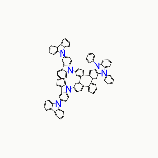 c1ccc(-n2c3ccccc3n(-c3ccccc3)c3cc4c5ccc(-n6c7ccccc7c7cc(-n8c9ccccc9c9ccccc98)ccc76)cc5c5cc(-n6c7ccccc7c7cc(-n8c9ccccc9c9ccccc98)ccc76)ccc5c5ccccc5c4cc32)cc1